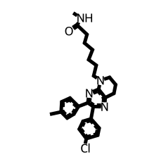 CNC(=O)CCCCCCN1CCCc2nc(-c3ccc(Cl)cc3)c(-c3ccc(C)cc3)nc21